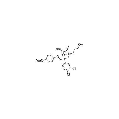 COc1ccc(OCC(O)(CN(CCCO)C(=O)OC(C)(C)C)c2ccc(Cl)c(Cl)c2)cc1